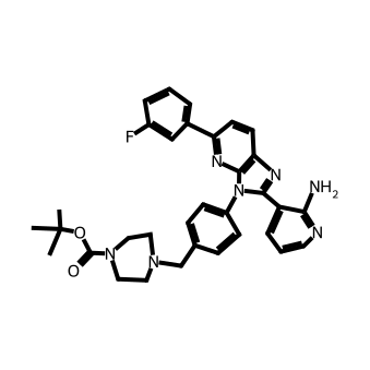 CC(C)(C)OC(=O)N1CCN(Cc2ccc(-n3c(-c4cccnc4N)nc4ccc(-c5cccc(F)c5)nc43)cc2)CC1